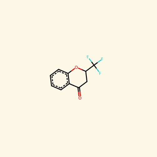 O=C1CC(C(F)(F)F)Oc2ccccc21